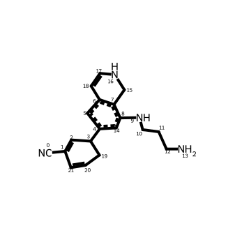 N#CC1=CC(c2cc3c(c(NCCCN)c2)CNC=C3)CC=C1